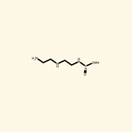 CO[PH](=O)NCCNCCN